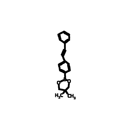 CC1(C)COB(c2ccc(C#Cc3ccccc3)cc2)OC1